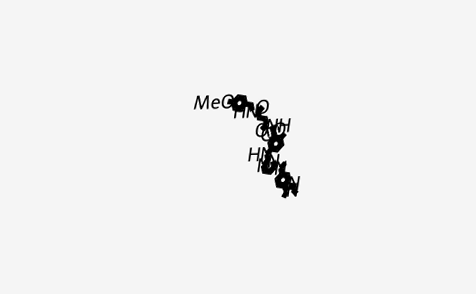 COc1ccc(CNC(=O)CCC(=O)NS(=O)(=O)c2cc(Nc3nccc(N(C)c4ccc5c(C)n(C)nc5c4)n3)ccc2C)cc1